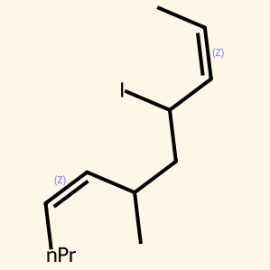 C/C=C\C(I)CC(C)/C=C\CCC